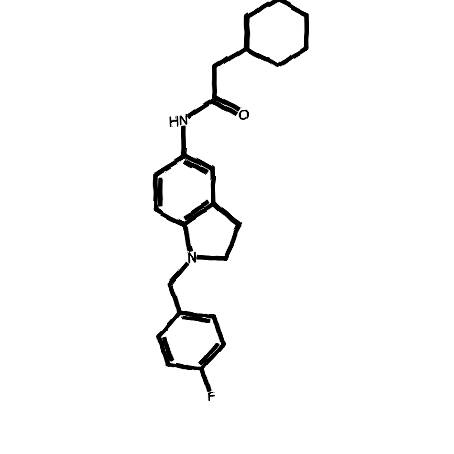 O=C(CC1CCCCC1)Nc1ccc2c(c1)CCN2Cc1ccc(F)cc1